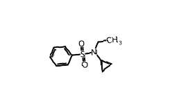 CCN(C1CC1)S(=O)(=O)c1ccccc1